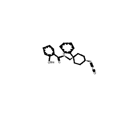 COc1ccccc1C(=O)NC[C@]1(c2ccccc2)CC[C@H](N=C=O)CC1